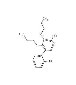 CCCCc1c(O)ccc(-c2ccccc2O)c1CCCC